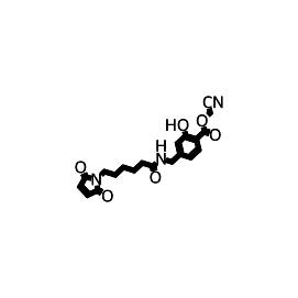 N#CCOC(=O)c1ccc(CNC(=O)CCCCCN2C(=O)C=CC2=O)cc1O